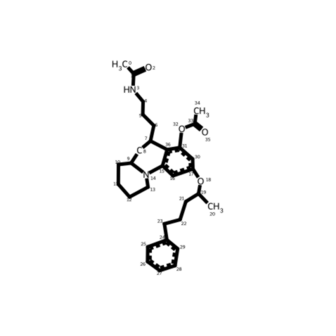 CC(=O)NCCCC1CC2CCCCN2c2cc(OC(C)CCCc3ccccc3)cc(OC(C)=O)c21